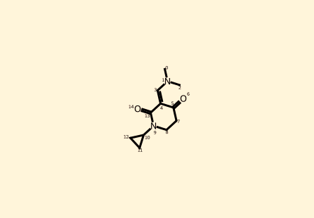 CN(C)/C=C1\C(=O)CCN(C2CC2)C1=O